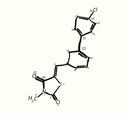 CN1C(=O)S/C(=C\C2C=CC=C(c3ccc(Cl)cc3)C2)C1=O